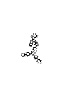 c1ccc(-c2ccc(-c3nc(-c4ccc(-c5ccccc5)cc4)nc(-c4ccc(-c5cccc(-c6nc7c8ccccc8ccc7c7sc8ccccc8c67)c5)cc4)n3)cc2)cc1